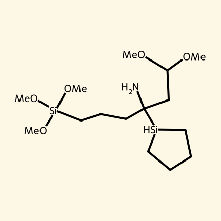 COC(CC(N)(CCC[Si](OC)(OC)OC)[SiH]1CCCC1)OC